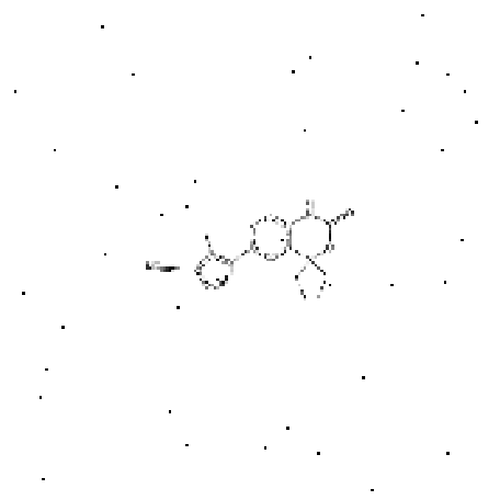 CCC1(CC)OC(=O)Nc2ccc(-c3ccc(C#N)n3C)cc21